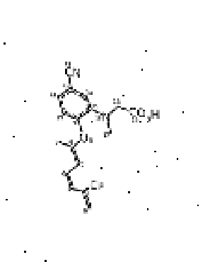 C=C(Cl)/C=C\C=C(/C)Oc1ccc(C#N)cc1N(C)CC(=O)O